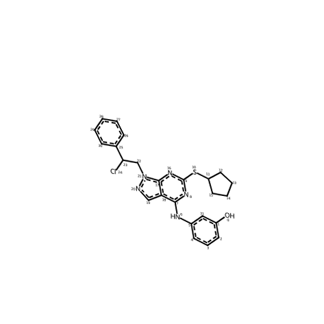 Oc1cccc(Nc2nc(SC3CCCC3)nc3c2cnn3CC(Cl)c2ccccc2)c1